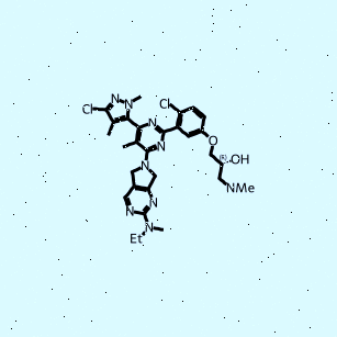 CCN(C)c1ncc2c(n1)CN(c1nc(-c3cc(OC[C@H](O)CNC)ccc3Cl)nc(-c3c(C)c(Cl)nn3C)c1C)C2